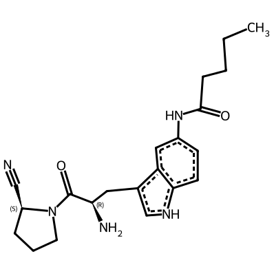 CCCCC(=O)Nc1ccc2[nH]cc(C[C@@H](N)C(=O)N3CCC[C@H]3C#N)c2c1